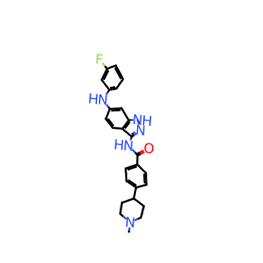 CN1CCC(c2ccc(C(=O)Nc3n[nH]c4cc(Nc5cccc(F)c5)ccc34)cc2)CC1